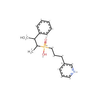 CC(C(C(=O)O)c1ccccc1)P(=O)(O)CCCc1cccnc1